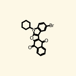 O=C1c2ccccc2C(=O)c2c1oc1c2c2cc(Br)ccc2n1C1CCCCC1